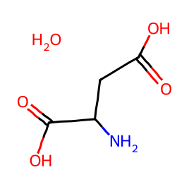 NC(CC(=O)O)C(=O)O.O